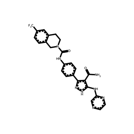 NC(=O)c1c(-c2ccc(NC(=O)N3CCc4cc(C(F)(F)F)ccc4C3)cc2)n[nH]c1Nc1cnccn1